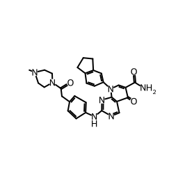 CN1CCN(C(=O)Cc2ccc(Nc3ncc4c(=O)c(C(N)=O)cn(-c5ccc6c(c5)CCC6)c4n3)cc2)CC1